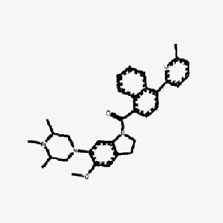 COc1cc2c(cc1N1CC(C)N(C)C(C)C1)N(C(=O)c1ccc(-c3cccc(C)n3)c3ccccc13)CC2